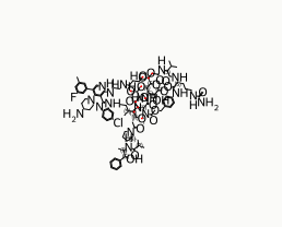 CC[C@H](C)[C@@H]([C@@H](CC(=O)N1CCC[C@H]1C[C@@H](C)C(=O)N[C@H](C)[C@@H](O)c1ccccc1)OC)N(C)C(=O)[C@@H](NC(=O)[C@H](C(C)C)N(C)C(=O)OCc1ccc(NC(=O)[C@H](CCCNC(N)=O)NC(=O)[C@@H](NC(=O)CCOCCC(=O)NCCNc2ncc(-c3cc(C)cc(F)c3)c(N3CCC(N)CC3)c2-c2nc3ccc(Cl)cc3[nH]2)C(C)C)c(O[C@@H]2O[C@H](C(=O)O)[C@@H](O)[C@H](O)[C@H]2O)c1)C(C)C